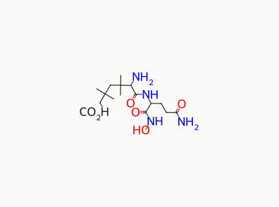 CC(C)(CC(=O)O)CC(C)(C)C(N)C(=O)NC(CCC(N)=O)C(=O)NO